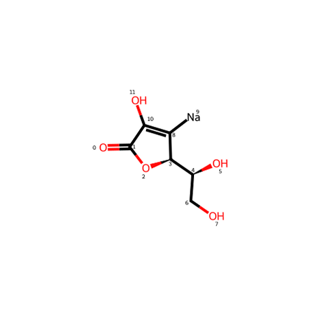 O=C1O[C@H]([C@@H](O)CO)[C]([Na])=C1O